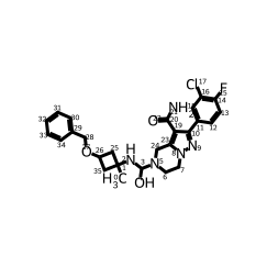 CC1(NC(O)N2CCn3nc(-c4ccc(F)c(Cl)c4)c(C(N)=O)c3C2)CC(OCc2ccccc2)C1